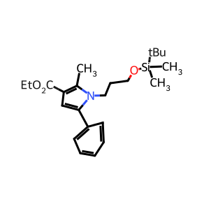 CCOC(=O)c1cc(-c2ccccc2)n(CCCO[Si](C)(C)C(C)(C)C)c1C